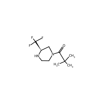 CC(C)(C)C(=O)N1CCN[C@@H](C(F)(F)F)C1